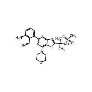 CC(C)(NS(C)(=O)=O)c1cc2nc(-c3cccc(N)c3C=N)nc(N3CCOCC3)c2s1